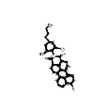 CC(C)c1cc(CCCO)cc(C(C)C)c1N1C(=O)c2ccc3c4cccc5c(Br)ccc(c6ccc(c2c36)C1=O)c54